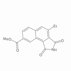 CCc1cc2ccc(C(=O)OC)cc2c2c1C(=O)NC2=O